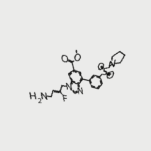 COC(=O)c1cc(-c2cccc(S(=O)(=O)N3CCCC3)c2)c2ncn(C/C(F)=C/CN)c2c1